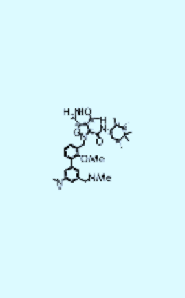 CNCc1cc(-c2cccc(CN3O[C@@H](CN)[C@@H]([C@H](C)O)[C@H]3C(=O)N[C@H]3C[C@@H](C)C(C)(C)[C@@H](C)[C@@H]3C)c2OC)cc(N(C)C)c1